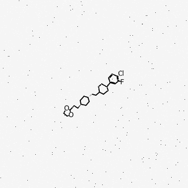 Fc1cc(C2CCC(CC[C@H]3CC[C@H](CCC4OCCO4)CC3)CC2)ccc1Cl